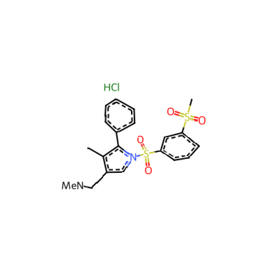 CNCc1cn(S(=O)(=O)c2cccc(S(C)(=O)=O)c2)c(-c2ccccc2)c1C.Cl